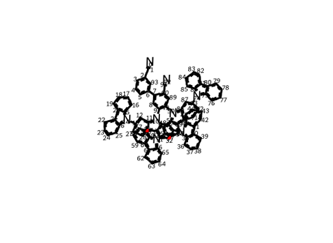 N#Cc1cccc(-c2cc(-n3c4cc(-n5c6ccccc6c6ccccc65)ccc4c4ccc(-n5c6ccccc6c6ccccc65)cc43)c(-n3c4cc(-n5c6ccccc6c6ccccc65)ccc4c4ccc(-n5c6ccccc6c6ccccc65)cc43)cc2C#N)c1